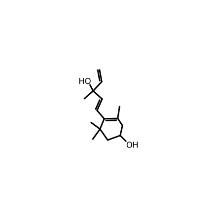 C=CC(C)(O)C=CC1=C(C)CC(O)CC1(C)C